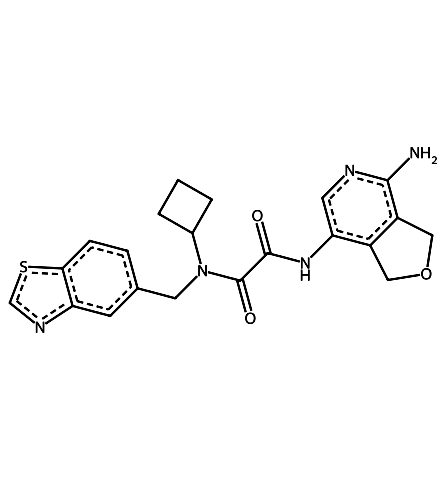 Nc1ncc(NC(=O)C(=O)N(Cc2ccc3scnc3c2)C2CCC2)c2c1COC2